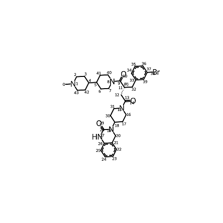 CN1CCC(C2CCN(C(=O)[C@@H](CC(=O)N3CCC(N4Cc5ccccc5NC4=O)CC3)Cc3cccc(Br)c3)CC2)CC1